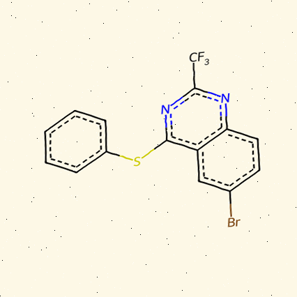 FC(F)(F)c1nc(Sc2ccccc2)c2cc(Br)ccc2n1